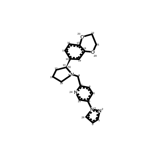 c1cnn(-c2ccc(CN3CCC[C@H]3c3ccc4c(c3)OCCO4)nc2)c1